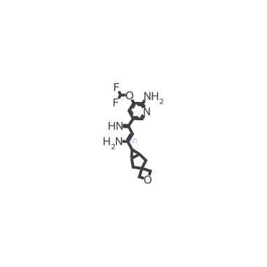 N=C(/C=C(\N)C1C2CC3(COC3)CC21)c1cnc(N)c(OC(F)F)c1